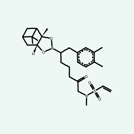 C=CS(=O)(=O)N(C)CC(=O)CCCC(Cc1ccc(C)c(C)c1)B1O[C@@H]2CC3CC(C3(C)C)[C@]2(C)O1